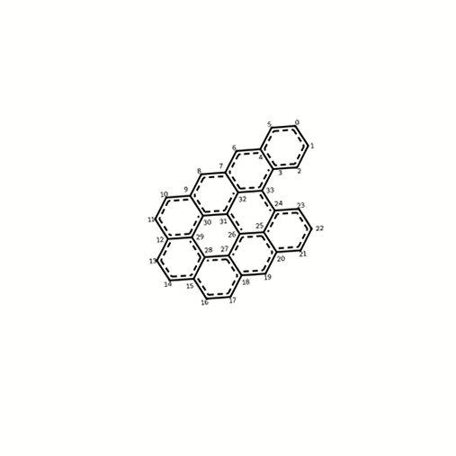 c1ccc2c(c1)cc1cc3ccc4ccc5ccc6cc7cccc8c7c7c6c5c4c3c7c1c28